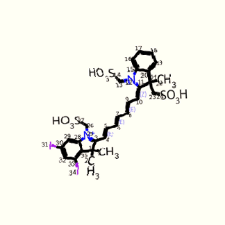 CC1(C)C(/C=C/C=C/C=C/C=C2\N(CS(=O)(=O)O)c3ccccc3C2(C)CS(=O)(=O)O)=[N+](CS(=O)(=O)O)c2cc(I)cc(I)c21